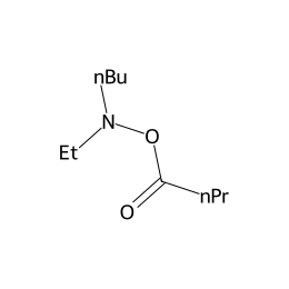 CCCCN(CC)OC(=O)CCC